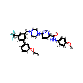 CCOc1cccc(-c2cc(CN3CCN(c4ccc(C(=O)Nc5ccc(OC)cc5)nn4)CC3)cc(C(F)(F)F)c2)c1